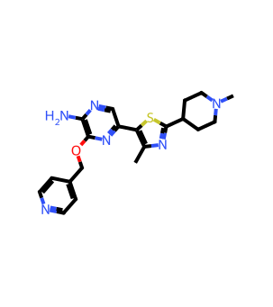 Cc1nc(C2CCN(C)CC2)sc1-c1cnc(N)c(OCc2ccncc2)n1